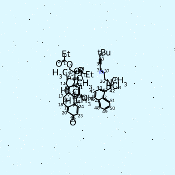 CCC(=O)OCC(=O)[C@@]1(OC(=O)CC)[C@@H](C)C[C@H]2[C@@H]3CCC4=CC(=O)C=C[C@]4(C)[C@@]3(Cl)[C@@H](O)C[C@@]21C.CN(C/C=C/C#CC(C)(C)C)Cc1cccc2ccccc12.Cl